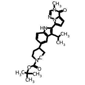 CC(C)c1c(-c2ccc3c(=O)n(C)cnn23)[nH]c2ccc(C3CCN(C(=O)OC(C)(C)C)CC3)cc12